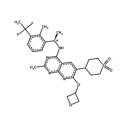 Cc1nc(N[C@H](C)c2cccc(C(C)(F)F)c2C)c2cc(C3CCS(=O)(=O)CC3)c(OC3COC3)nc2n1